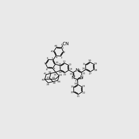 N#Cc1ccc(-c2cccc3c2-c2ccc(-c4nc(-c5ccccc5)nc(-c5ccccc5)n4)cc2C32C3CC4CC(C3)CC2C4)cc1